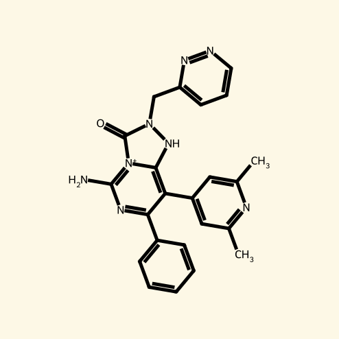 Cc1cc(-c2c(-c3ccccc3)nc(N)[n+]3c(=O)n(Cc4cccnn4)[nH]c23)cc(C)n1